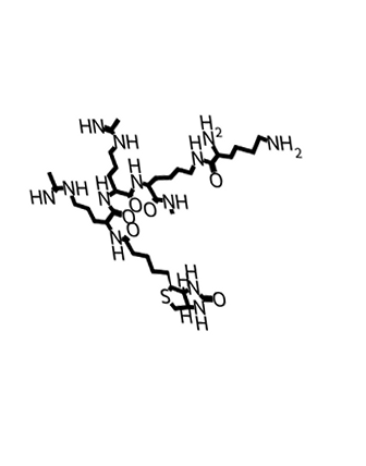 CNC(=O)C(CCCCNC(=O)C(N)CCCCN)NC(=O)C(CCCNC(C)=N)NC(=O)C(CCCNC(C)=N)NC(=O)CCCC[C@@H]1SC[C@@H]2NC(=O)N[C@@H]21